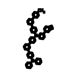 Cc1ccc(-c2cccc(-c3ccc(N(c4ccc(-c5cccc(-c6ccc(N(c7ccccc7)c7ccccc7)cc6)c5)cc4)c4cccc(-c5ccc6c(c5)CC6)c4)cc3)c2)cc1